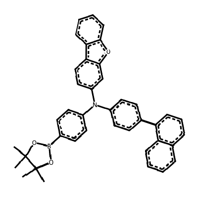 CC1(C)OB(c2ccc(N(c3ccc(-c4cccc5ccccc45)cc3)c3ccc4c(c3)oc3ccccc34)cc2)OC1(C)C